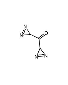 O=C(C1N=N1)C1N=N1